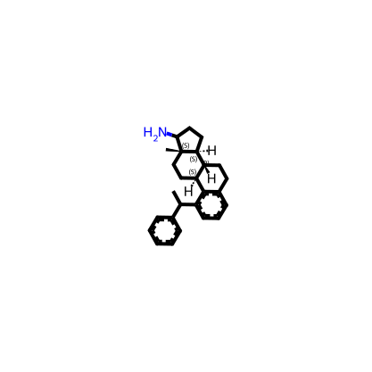 CC(c1ccccc1)c1cccc2c1[C@H]1CC[C@]3(C)C(N)CC[C@H]3[C@@H]1CC2